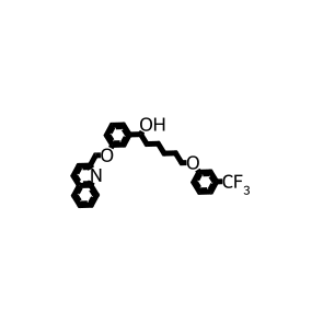 OC(CCCCCOc1cccc(C(F)(F)F)c1)c1cccc(OCc2ccc3ccccc3n2)c1